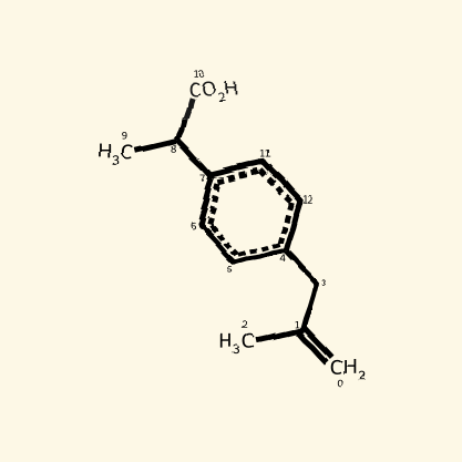 C=C(C)Cc1ccc(C(C)C(=O)O)cc1